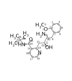 COc1ccccc1C[C@@H](N)[C@@H](O)Cc1ncccc1C(=O)NC(C)(C)C